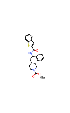 CC(C)(C)OC(=O)N1CCC(CC(NC(=O)c2cc3ccccc3s2)c2ccccc2)CC1